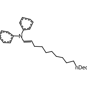 CCCCCCCCCCCCCCCCCC/C=C/N(c1ccccc1)c1ccccc1